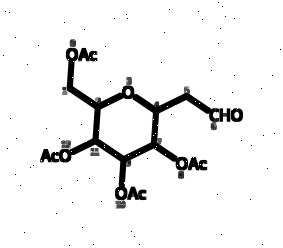 CC(=O)OCC1OC(CC=O)C(OC(C)=O)C(OC(C)=O)C1OC(C)=O